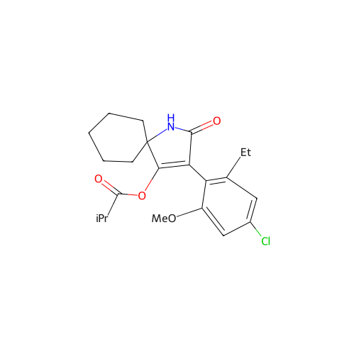 CCc1cc(Cl)cc(OC)c1C1=C(OC(=O)C(C)C)C2(CCCCC2)NC1=O